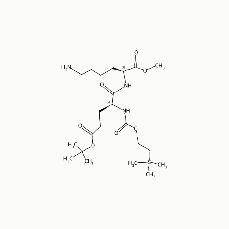 COC(=O)[C@H](CCCCN)NC(=O)[C@H](CCC(=O)OC(C)(C)C)NC(=O)OCCS(C)(C)C